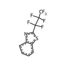 FC(F)(F)C(F)(F)C(F)(F)c1nc2ccccc2s1